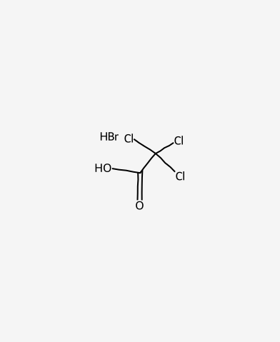 Br.O=C(O)C(Cl)(Cl)Cl